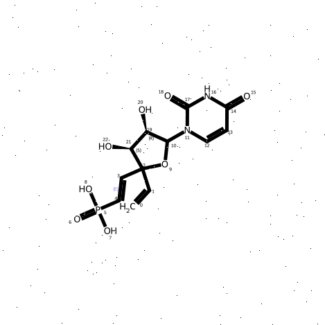 C=CC1(/C=C/P(=O)(O)O)OC(n2ccc(=O)[nH]c2=O)[C@H](O)[C@@H]1O